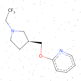 FC(F)(F)CN1CC[C@H](COc2ccccn2)C1